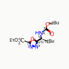 CCOC(=O)c1nnc([C@@H](NC(=O)OC(C)(C)C)C(C)(C)C)o1